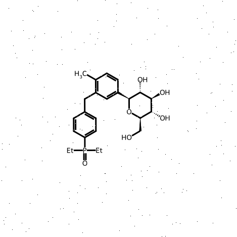 CCP(=O)(CC)c1ccc(Cc2cc([C@@H]3O[C@H](CO)[C@@H](O)[C@H](O)[C@H]3O)ccc2C)cc1